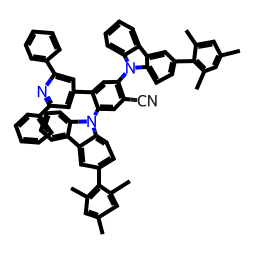 Cc1cc(C)c(-c2ccc3c(c2)c2ccccc2n3-c2cc(-c3cc(-c4ccccc4)nc(-c4ccccc4)c3)c(-n3c4ccccc4c4cc(-c5c(C)cc(C)cc5C)ccc43)cc2C#N)c(C)c1